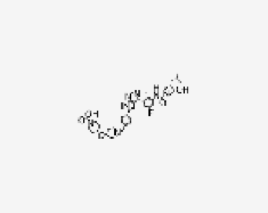 Cc1c(NC(=O)N2C[C@H](CC(C)C)[C@@H](O)C2)cc(F)cc1-c1ncnc2[nH]c(-c3ccc(CN4CCC(OC5CCN(C(=O)O)CC5)CC4)cc3)cc12